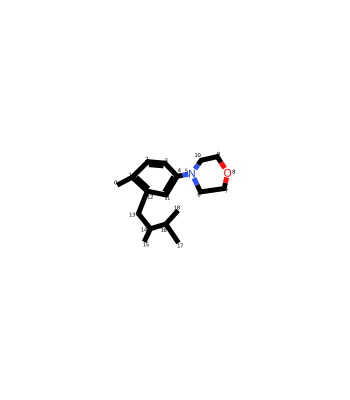 Cc1ccc(N2CCOCC2)cc1CC(C)C(C)C